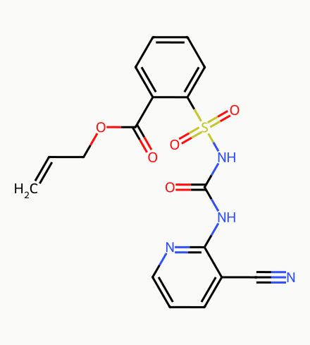 C=CCOC(=O)c1ccccc1S(=O)(=O)NC(=O)Nc1ncccc1C#N